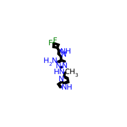 C[C@@H](Nc1ncc(-c2cc(C3CC(F)(F)C3)[nH]n2)c(N)n1)c1ccc2[nH]ccc2n1